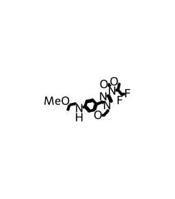 COC(C)CNc1ccc2c(c1)OCCn1cc(N3C(=O)OCC3C(F)F)nc1-2